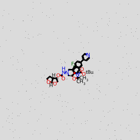 CC(C)(C)OC(=O)N1[C@@H](Cc2ccc(-c3ccncc3)cc2)[C@H](CN(Cc2ccccc2F)NC(=O)O[C@H]2CO[C@H]3OCC[C@H]32)OC1(C)C